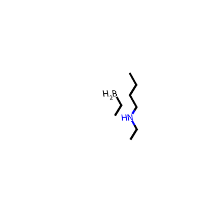 BCC.CCCCNCC